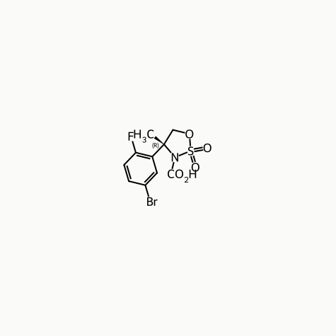 C[C@@]1(c2cc(Br)ccc2F)COS(=O)(=O)N1C(=O)O